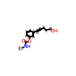 CCNC(=O)Oc1cccc(C#CCCCO)c1